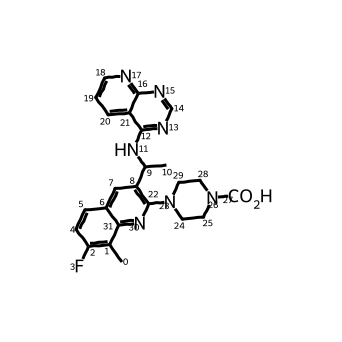 Cc1c(F)ccc2cc(C(C)Nc3ncnc4ncccc34)c(N3CCN(C(=O)O)CC3)nc12